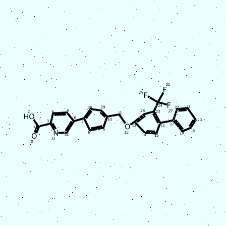 O=C(O)c1ccc(-c2ccc(COc3ccc(-c4ccccc4)c(C(F)(F)F)c3)cc2)cn1